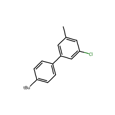 Cc1cc(Cl)cc(-c2ccc(C(C)(C)C)cc2)c1